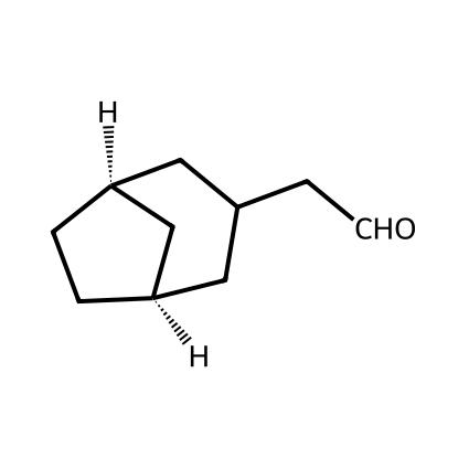 O=CCC1C[C@H]2CC[C@@H](C1)C2